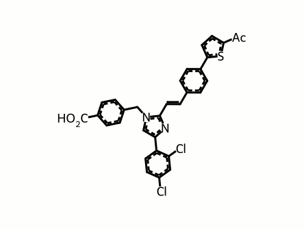 CC(=O)c1ccc(-c2ccc(/C=C/c3nc(-c4ccc(Cl)cc4Cl)cn3Cc3ccc(C(=O)O)cc3)cc2)s1